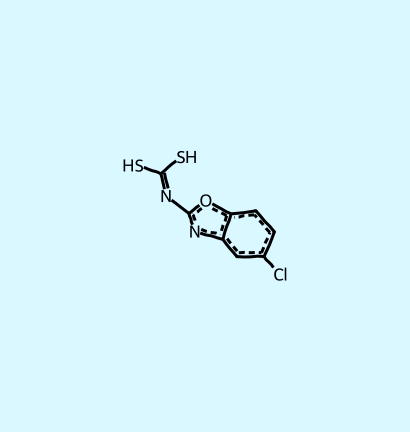 SC(S)=Nc1nc2cc(Cl)ccc2o1